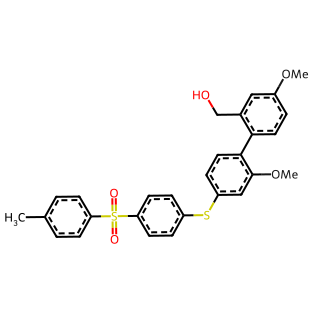 COc1ccc(-c2ccc(Sc3ccc(S(=O)(=O)c4ccc(C)cc4)cc3)cc2OC)c(CO)c1